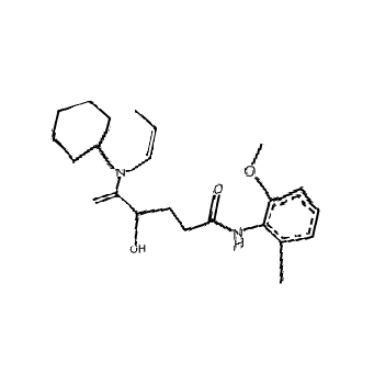 C=C(C(O)CCC(=O)Nc1c(C)cccc1OC)N(/C=C\C)C1CCCCC1